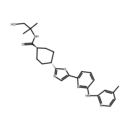 Cc1ccnc(Nc2cccc(-c3cnc([C@H]4CC[C@H](C(=O)NC(C)(C)CO)CC4)s3)n2)c1